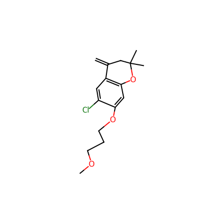 C=C1CC(C)(C)Oc2cc(OCCCOC)c(Cl)cc21